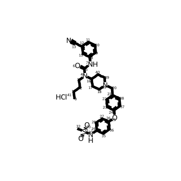 CCCCN(C(=O)Nc1cccc(C#N)c1)C1CCN(Cc2ccc(Oc3ccc(NS(C)(=O)=O)cc3)cc2)CC1.Cl